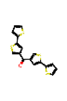 O=C(c1csc(-c2cccs2)c1)c1csc(-c2cccs2)c1